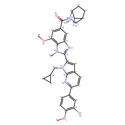 COc1ccc(-c2ccc3cc(-c4nc5cc(C(=O)N6CC7CCC6[C@@H]7N)cc(OC)c5n4C)n(CC4CC4)c3n2)cc1Cl